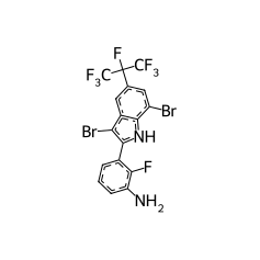 Nc1cccc(-c2[nH]c3c(Br)cc(C(F)(C(F)(F)F)C(F)(F)F)cc3c2Br)c1F